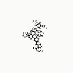 COC(=O)[C@@H]1CCCN1Cc1ccc(OC)c(C2=C(CN3C(=O)O[C@H](c4cc(C(F)(F)F)cc(C(F)(F)F)c4)[C@@H]3C)CC(C)(C)CC2)c1